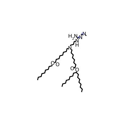 CCCCCCCCCOC(=O)CCCCCCCN(CCCCCCCC(=O)OC(CCCCCCCC)CCCCCCCC)CCCN/C(N)=N/C=N\C